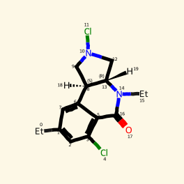 CCc1cc(Cl)c2c(c1)[C@H]1CN(Cl)C[C@@H]1N(CC)C2=O